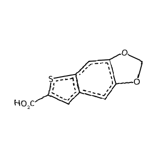 O=C(O)c1cc2cc3c(cc2s1)OCO3